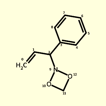 C=CC(c1ccccc1)N1OCO1